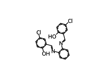 Oc1ccc(Cl)cc1C=Nc1ccccc1N=Cc1cc(Cl)ccc1O